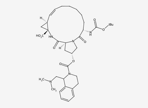 CN(C)CC1c2ccccc2CCN1C(=O)O[C@@H]1C[C@H]2C(=O)N[C@]3(C(=O)O)C[C@H]3/C=C\CCCCC[C@H](NC(=O)OC(C)(C)C)C(=O)N2C1